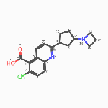 O=C(O)c1c(Cl)ccc2nc(C3CCC(N4CCC4)C3)ccc12